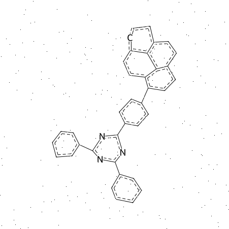 c1ccc(-c2nc(-c3ccccc3)nc(-c3ccc(-c4ccc5ccc6cccc7ccc4c5c67)cc3)n2)cc1